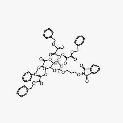 O=C(OCc1ccccc1)C(=O)OCC1O[C@H](OCCCON2C(=O)c3ccccc3C2=O)[C@@H](OC(=O)C(=O)OCc2ccccc2)[C@@H](OC(=O)C(=O)OCc2ccccc2)[C@@H]1OC(=O)C(=O)OCc1ccccc1